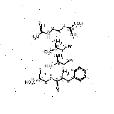 CC(C)C[C@H](N)C(=O)O.CC(C)C[C@H](N)C(=O)O.N=C(N)NCCC[C@H](N)C(=O)O.N[C@@H](COC(=O)[C@@H](N)Cc1ccccc1)C(=O)O